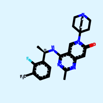 Cc1nc(N[C@H](C)c2cccc(C(F)(F)F)c2F)c2cn(C34CCN(CC3)CC4)c(=O)cc2n1